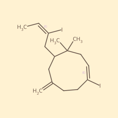 C=C1CC/C(I)=C\CC(C)(C)C(C/C(I)=C\C)C1